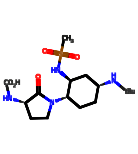 CC(C)(C)N[C@@H]1CC[C@H](N2CC[C@H](NC(=O)O)C2=O)[C@@H](NS(C)(=O)=O)C1